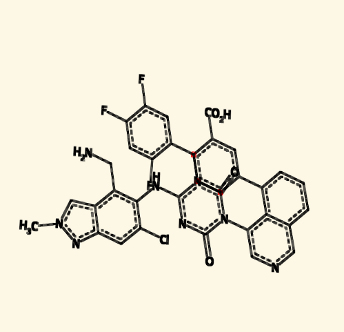 Cn1cc2c(CN)c(Nc3nc(=O)n(-c4cncc5cccc(-c6cccc(C(=O)O)c6)c45)c(=O)n3Cc3cc(F)c(F)cc3F)c(Cl)cc2n1